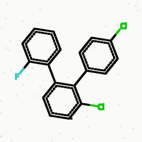 Fc1ccccc1-c1cc[c]c(Cl)c1-c1ccc(Cl)cc1